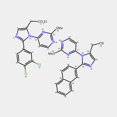 CCOC(=O)Cc1cnc(-c2ccc(Cl)c(Cl)c2)n1-c1ccnc(SC)n1.CSc1nccc(-n2c(CC#N)cnc2-c2ccc3ccccc3c2)n1